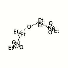 CCN1CC(=O)N(CCCCC(CC)(CC)CCCCOCCCCC(CC)(CC)CCCCN2C(=O)CN(CC)C2=O)C1=O